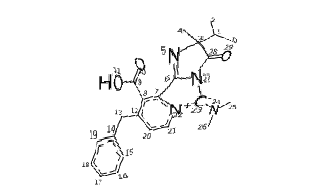 CC(C)C1(C)N=C2c3c(C(=O)O)c(Cc4ccccc4)cc[n+]3[C-](N(C)C)N2C1=O